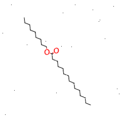 CCCCCCCCCCCCCCC(=O)OCCCCCCCCC